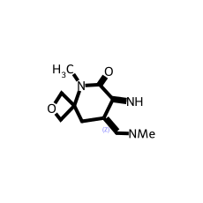 CN/C=C1/CC2(COC2)N(C)C(=O)C1=N